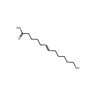 O=C(O)CCCC/C=C/CCCCCO